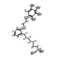 Cc1c(Br)c(Br)c(Br)c(Br)c1OCCOc1ccccc1CCCCCCCC(Br)Br